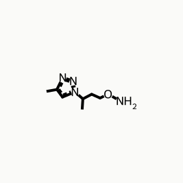 Cc1cn(C(C)CCON)nn1